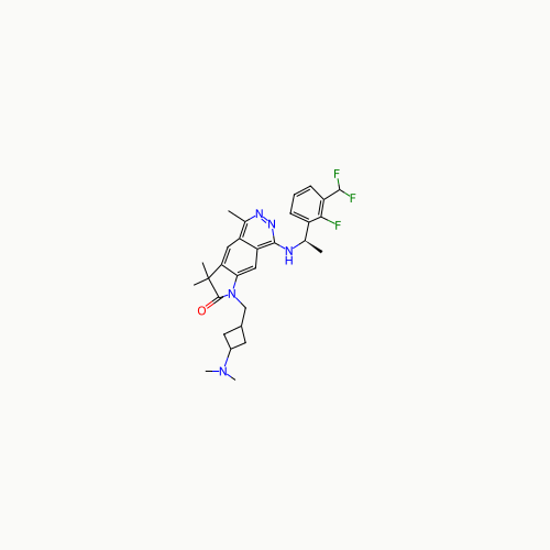 Cc1nnc(N[C@H](C)c2cccc(C(F)F)c2F)c2cc3c(cc12)C(C)(C)C(=O)N3CC1CC(N(C)C)C1